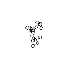 O=P(c1ccccc1)(c1ccccc1)c1ccc(-c2nc(-c3ccccc3)nc(-c3ccc(-c4cccc5c4nc(-c4ccccc4)c4cccc(-c6ccccc6)c45)cc3)n2)cc1